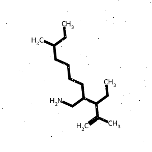 C=C(C)C(CC)C(CN)CCCCC(C)CC